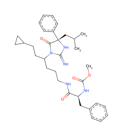 COC(=O)N[C@@H](Cc1ccccc1)C(=O)NCCCC(CCC1CC1)N1C(=N)N[C@@](CC(C)C)(c2ccccc2)C1=O